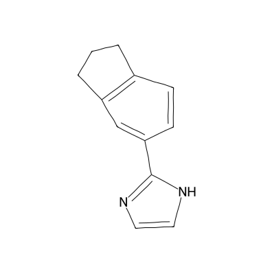 c1c[nH]c(-c2ccc3c(c2)CCC3)n1